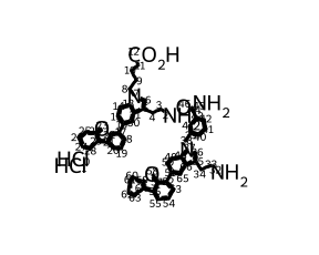 Cl.Cl.NCCc1cn(CCCCC(=O)O)c2ccc(-c3cccc4c3oc3ccccc34)cc12.NCCc1cn(Cc2cccc(C(N)=O)c2)c2ccc(-c3cccc4c3oc3ccccc34)cc12